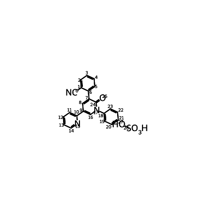 N#Cc1ccccc1-c1cc(-c2ccccn2)cn(-c2ccccc2)c1=O.O=S(=O)(O)O